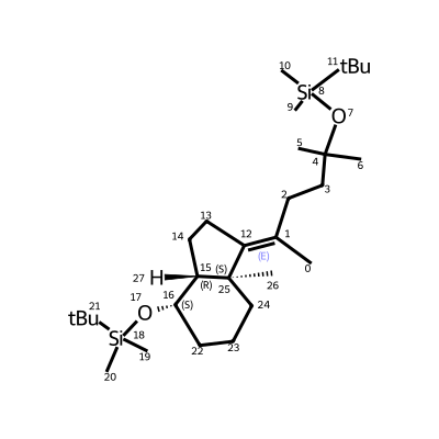 C/C(CCC(C)(C)O[Si](C)(C)C(C)(C)C)=C1/CC[C@H]2[C@@H](O[Si](C)(C)C(C)(C)C)CCC[C@]12C